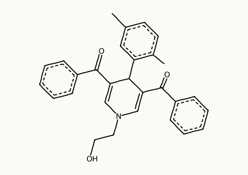 Cc1ccc(C)c(C2C(C(=O)c3ccccc3)=CN(CCO)C=C2C(=O)c2ccccc2)c1